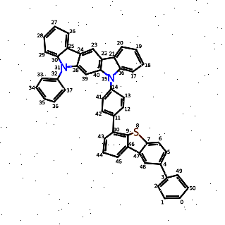 c1ccc(-c2ccc3sc4c(-c5ccc(-n6c7ccccc7c7cc8c9ccccc9n(-c9ccccc9)c8cc76)cc5)cccc4c3c2)cc1